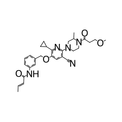 CC=CC(=O)Nc1cccc(COc2cc(C#N)c(N3CCN(C(=O)CCOC)C(C)C3)nc2C2CC2)c1